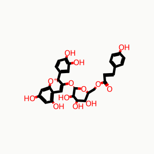 O=C(/C=C/c1ccc(O)cc1)OCC1O[C@@H](Oc2cc3c(O)cc(O)cc3[o+]c2-c2ccc(O)c(O)c2)C(O)C(O)[C@@H]1O